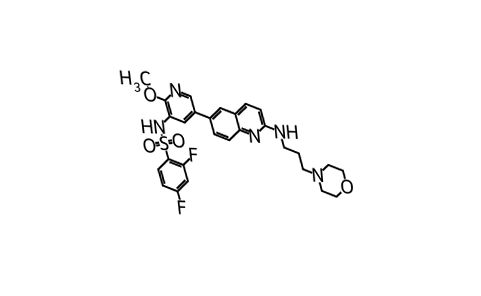 COc1ncc(-c2ccc3nc(NCCCN4CCOCC4)ccc3c2)cc1NS(=O)(=O)c1ccc(F)cc1F